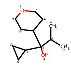 CC(C)C(O)(C1CCOCC1)C1CC1